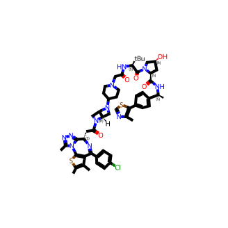 Cc1ncsc1-c1ccc([C@H](C)NC(=O)[C@@H]2C[C@@H](O)CN2C(=O)[C@@H](NC(=O)CN2CCC(N3C[C@@H]4C3CN4C(=O)C[C@@H]3N=C(c4ccc(Cl)cc4)c4c(sc(C)c4C)-n4c(C)nnc43)CC2)C(C)(C)C)cc1